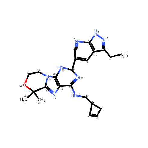 CCc1n[nH]c2ncc(C3N=C(NCC4C=CC4)c4nc5n(c4N3)CCOC5(C)C)cc12